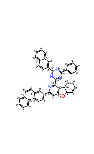 C1=CC2Oc3cc(-c4ccc5c(ccc6ccccc65)c4)nc(-c4nc(-c5ccccc5)nc(-c5ccc6ccccc6c5)n4)c3C2C=C1